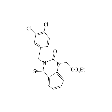 CCOC(=O)Cn1c(=O)n(Cc2ccc(Cl)c(Cl)c2)c(=S)c2ccccc21